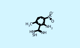 Cc1ccc([N+](=O)[O-])c(N)c1C(=N)NS